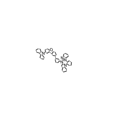 c1cc(-c2ccc3oc4ccc(-n5c6ccccc6c6ccccc65)cc4c3c2)cc(-n2c3cc4ccccc4n3c3ccccc3n3c4ccccc4nc23)c1